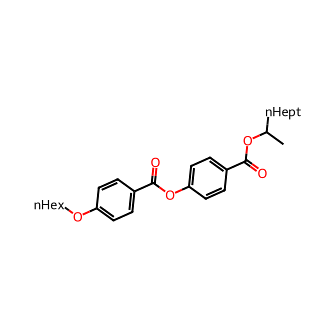 CCCCCCCC(C)OC(=O)c1ccc(OC(=O)c2ccc(OCCCCCC)cc2)cc1